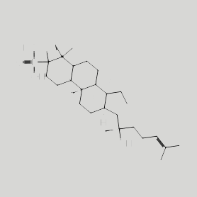 CC(C)=CCC[C@](C)(O)[C@H]1CC[C@@]2(C)[C@@H]1CC[C@@H]1[C@@]3(C)CCC(O)(P(=O)(O)O)C(C)(C)C3CC[C@]12C